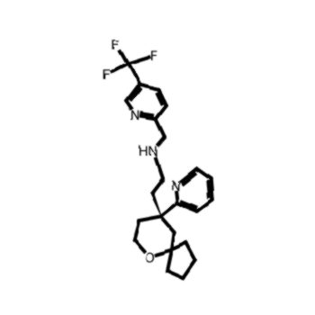 FC(F)(F)c1ccc(CNCC[C@]2(c3ccccn3)CCOC3(CCCC3)C2)nc1